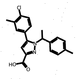 Cc1ccc(C(C)n2nc(C(=O)O)cc2-c2ccc(Cl)c(C)c2)cc1